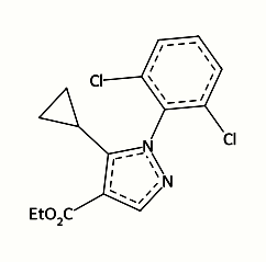 CCOC(=O)c1cnn(-c2c(Cl)cccc2Cl)c1C1CC1